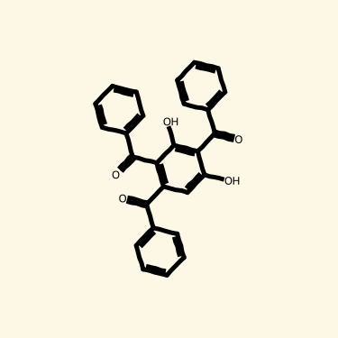 O=C(c1ccccc1)c1cc(O)c(C(=O)c2ccccc2)c(O)c1C(=O)c1ccccc1